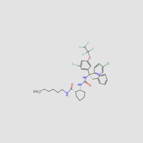 CCOC(=O)CCCCCNC(=O)[C@H]1CCCC[C@H]1NC(=O)N[C@@](Cc1ccccc1)(c1cc(F)cc(OC(F)(F)C(F)F)c1)c1ccc(Cl)cn1